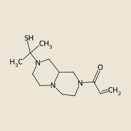 C=CC(=O)N1CCN2CCN(C(C)(C)S)CC2C1